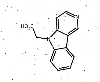 O=C(O)Cn1c2ccccc2c2cnccc21